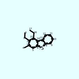 CCc1c(C)cc2sc3ccccc3c2c1CC